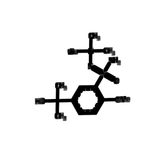 COc1ccc(C(C)(C)O)cc1S(N)(=O)=N[Si](C)(C)C(C)(C)C